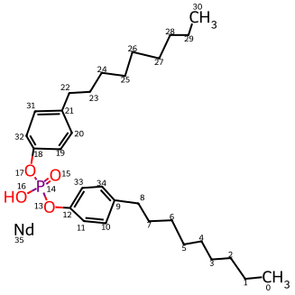 CCCCCCCCCc1ccc(OP(=O)(O)Oc2ccc(CCCCCCCCC)cc2)cc1.[Nd]